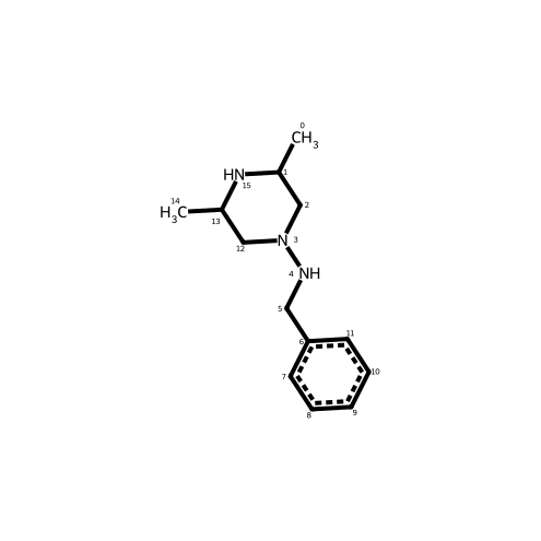 CC1CN(NCc2ccccc2)CC(C)N1